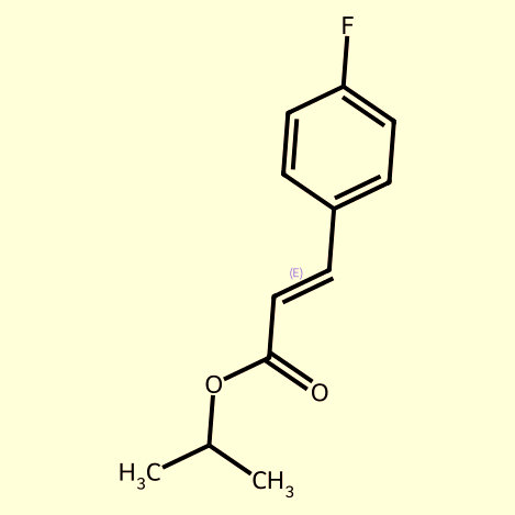 CC(C)OC(=O)/C=C/c1ccc(F)cc1